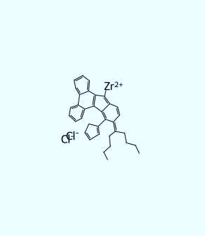 CCCCC(CCCC)=c1ccc2c(c1C1=CC=CC1)-c1c(c3ccccc3c3ccccc13)[C]=2[Zr+2].[Cl-].[Cl-]